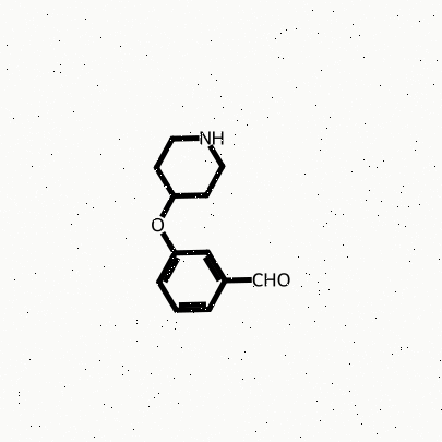 O=Cc1cccc(OC2CCNCC2)c1